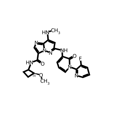 CNc1cc(Nc2cccn(-c3ncccc3F)c2=O)nn2c(C(=O)NC3CC[C@@H]3OC)cnc12